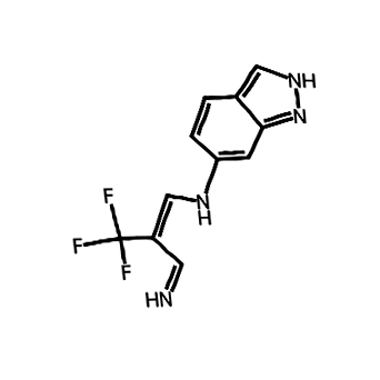 N=C/C(=C\Nc1ccc2c[nH]nc2c1)C(F)(F)F